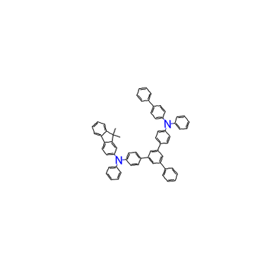 CC1(C)c2ccccc2-c2ccc(N(c3ccccc3)c3ccc(-c4cc(-c5ccccc5)cc(-c5ccc(N(c6ccccc6)c6ccc(-c7ccccc7)cc6)cc5)c4)cc3)cc21